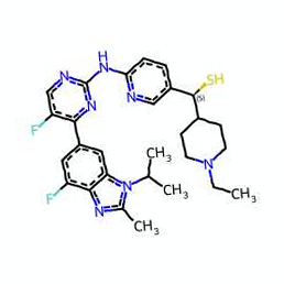 CCN1CCC([C@H](S)c2ccc(Nc3ncc(F)c(-c4cc(F)c5nc(C)n(C(C)C)c5c4)n3)nc2)CC1